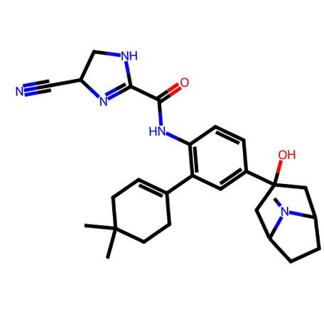 CN1C2CCC1CC(O)(c1ccc(NC(=O)C3=NC(C#N)CN3)c(C3=CCC(C)(C)CC3)c1)C2